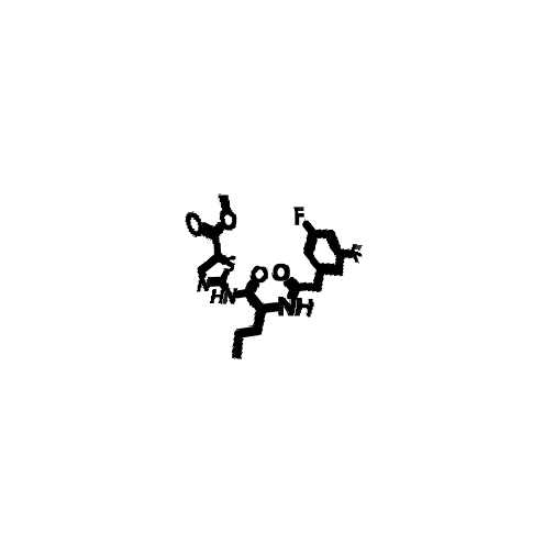 CCCC(NC(=O)Cc1cc(F)cc(F)c1)C(=O)Nc1ncc(C(=O)OC)s1